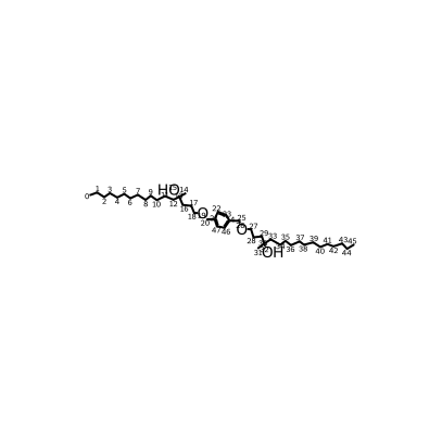 CCCCCCCCCCCCCC(C)(O)CCCOCc1ccc(COCCCC(C)(O)CCCCCCCCCCCCC)cc1